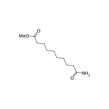 COC(=O)CCCCCCCCC(N)=O